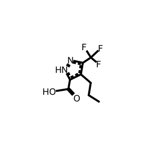 CCCc1c(C(F)(F)F)n[nH]c1C(=O)O